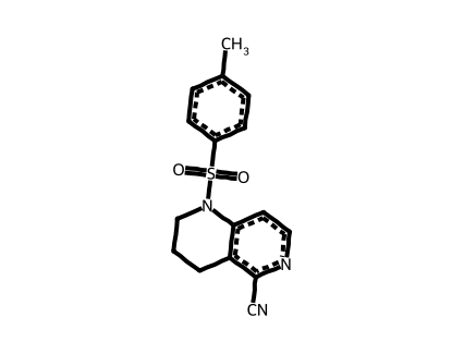 Cc1ccc(S(=O)(=O)N2CCCc3c2ccnc3C#N)cc1